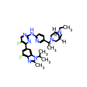 CCN1C[C@@H]2C[C@H]1CN([C@@H](C)c1ccc(Nc3ncc(F)c(-c4cc(F)c5nc(C)n(C(C)C)c5c4)n3)nc1)C2